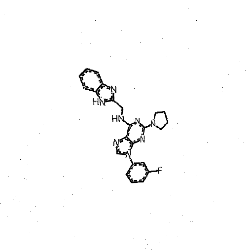 Fc1cccc(-n2cnc3c(NCc4nc5ccccc5[nH]4)nc(N4CCCC4)nc32)c1